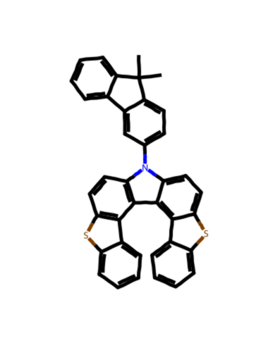 CC1(C)c2ccccc2-c2cc(-n3c4ccc5sc6ccccc6c5c4c4c5c(ccc43)sc3ccccc35)ccc21